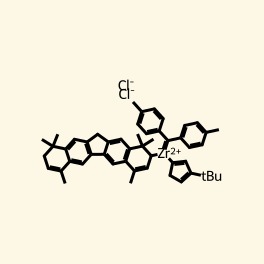 CC1=CCC(C)(C)c2cc3c(cc21)-c1cc2c(cc1C3)C(C)(C)[CH]([Zr+2]([C]1=CC(C(C)(C)C)=CC1)=[C](c1ccc(C)cc1)c1ccc(C)cc1)C=C2C.[Cl-].[Cl-]